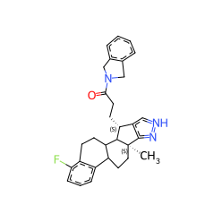 C[C@]12CCC3c4cccc(F)c4CCC3C1[C@H](CCC(=O)N1Cc3ccccc3C1)c1c[nH]nc12